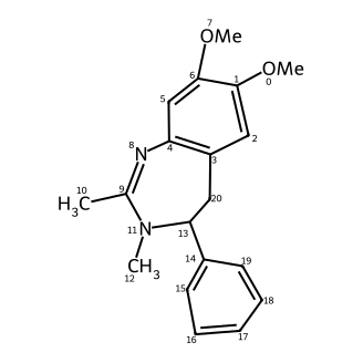 COc1cc2c(cc1OC)N=C(C)N(C)C(c1ccccc1)C2